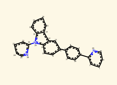 c1ccc(-c2ccc(-c3ccc4c(c3)c3ccccc3n4-c3ccccn3)cc2)nc1